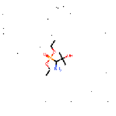 CCOP(=O)(OCC)C(N)C(C)(C)O